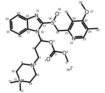 COC(=O)OC(CCN1CC[N+](C)(C)CC1)n1c([S+]([O-])Cc2ncc(C)c(OC)c2C)nc2ccccc21.[I-]